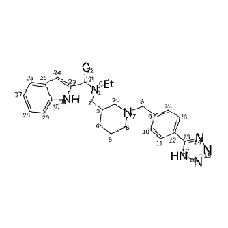 CCN(CC1CCCN(Cc2ccc(-c3nnn[nH]3)cc2)C1)C(=O)c1cc2ccccc2[nH]1